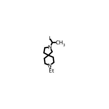 CCN1CCC2(CC1)CCN(C(C)I)C2